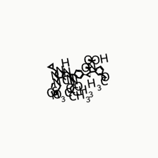 COc1ccc2c(c1)[C@]1(C[C@H]1c1ccc3c(Nc4nc(C5CC5)nc(N5CCS(=O)(=O)CC5)c4Cl)nn(C(=O)OC(C)(C)C)c3c1)C(=O)N2C(=O)O